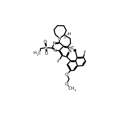 C#Cc1c(F)ccc2cc(OCOC)cc(-c3nc4c5c(nc(S(=O)(=O)CC)nc5c3F)N3CCCCC[C@H]3CC4)c12